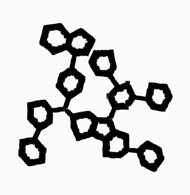 c1ccc(-c2cccc(N(c3ccc(-c4cccc5ccccc45)cc3)c3ccc4c5ccc(-c6ccccc6)cc5n(-c5nc(-c6ccccc6)nc(-c6ccccc6)n5)c4c3)c2)cc1